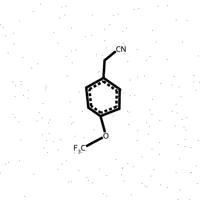 N#CCc1ccc(OC(F)(F)F)cc1